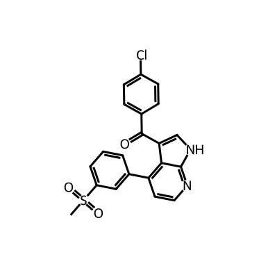 CS(=O)(=O)c1cccc(-c2ccnc3[nH]cc(C(=O)c4ccc(Cl)cc4)c23)c1